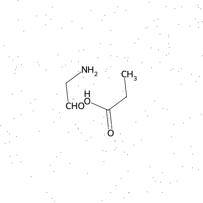 CCC(=O)O.NCC=O